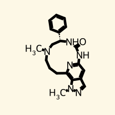 CN1CCCc2nc(cc3cnn(C)c23)NC(=O)N[C@@H](c2ccccc2)C1